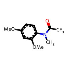 COc1ccc(N(C)C(=O)C(F)(F)F)c(OC)c1